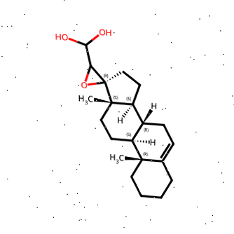 C[C@]12CCCCC1=CC[C@@H]1[C@@H]2CC[C@@]2(C)[C@H]1CC[C@@]21OC1C(O)O